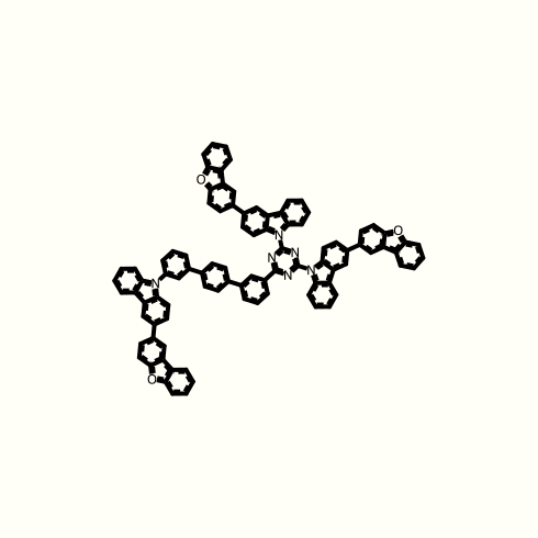 c1cc(-c2ccc(-c3cccc(-n4c5ccccc5c5cc(-c6ccc7oc8ccccc8c7c6)ccc54)c3)cc2)cc(-c2nc(-n3c4ccccc4c4cc(-c5ccc6oc7ccccc7c6c5)ccc43)nc(-n3c4ccccc4c4cc(-c5ccc6oc7ccccc7c6c5)ccc43)n2)c1